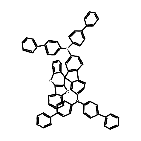 c1ccc(-c2ccc(N(c3ccc(-c4ccccc4)cc3)c3ccc4c(c3)C3(c5ccccc5Oc5c3oc3ccccc53)c3cc(N(c5ccc(-c6ccccc6)cc5)c5ccc(-c6ccccc6)cc5)ccc3-4)cc2)cc1